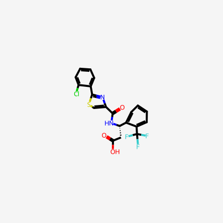 O=C(O)C[C@H](NC(=O)c1csc(-c2ccccc2Cl)n1)c1ccccc1C(F)(F)F